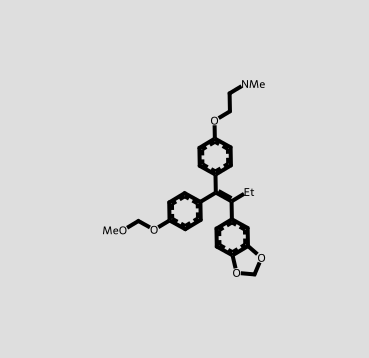 CCC(=C(c1ccc(OCCNC)cc1)c1ccc(OCOC)cc1)c1ccc2c(c1)OCO2